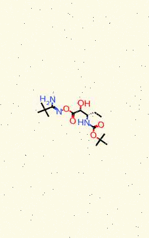 CC[C@H](NC(=O)OC(C)(C)C)C(O)C(=O)O/N=C(\N)C(C)(C)C